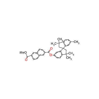 COC(=O)c1ccc2cc(C(=O)Oc3ccc4c(c3)C3(CC(C)(C)c5ccc(C)cc53)CC4(C)C)ccc2c1